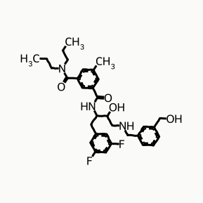 CCCN(CCC)C(=O)c1cc(C)cc(C(=O)NC(Cc2cc(F)cc(F)c2)C(O)CNCc2cccc(CO)c2)c1